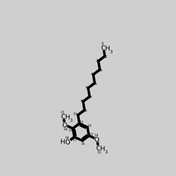 CCCCCCCCCCCc1cc(OC)cc(O)c1OC